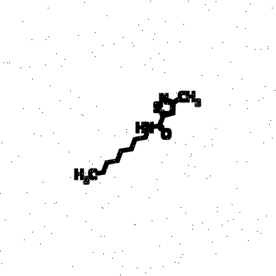 CCCCCCCCNC(=O)c1cc(C)ns1